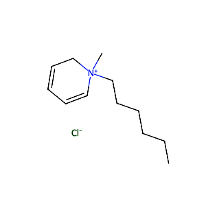 CCCCCC[N+]1(C)C=CC=CC1.[Cl-]